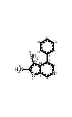 Nc1oc2cncc(-c3ccccc3)c2c1N